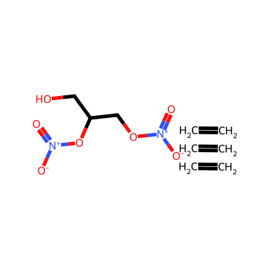 C=C.C=C.C=C.O=[N+]([O-])OCC(CO)O[N+](=O)[O-]